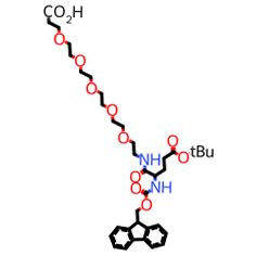 CC(C)(C)OC(=O)CCC(NC(=O)OCC1c2ccccc2-c2ccccc21)C(=O)NCCOCCOCCOCCOCCOCCC(=O)O